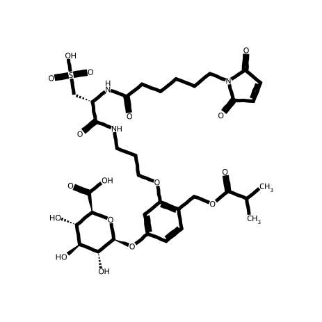 CC(C)C(=O)OCc1ccc(O[C@@H]2O[C@H](C(=O)O)[C@@H](O)[C@H](O)[C@H]2O)cc1OCCCNC(=O)[C@H](CS(=O)(=O)O)NC(=O)CCCCCN1C(=O)C=CC1=O